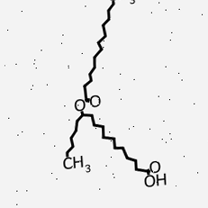 CCCCCCCCCCCCCC(=O)OC(CCCCCC)CCCCCCCCCCC(=O)O